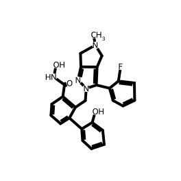 CN1Cc2nn(Cc3c(C(=O)NO)cccc3-c3ccccc3O)c(-c3ccccc3F)c2C1